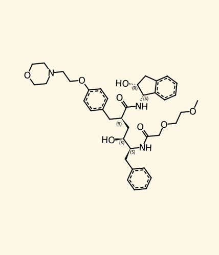 COCCOCC(=O)N[C@@H](Cc1ccccc1)[C@@H](O)C[C@@H](Cc1ccc(OCCN2CCOCC2)cc1)C(=O)N[C@H]1c2ccccc2C[C@H]1O